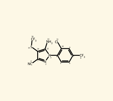 N#Cc1nn(-c2ccc(C(F)(F)F)cc2Cl)c(N)c1SC(F)(F)F